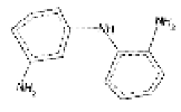 Nc1cccc(Nc2ccccc2N)c1